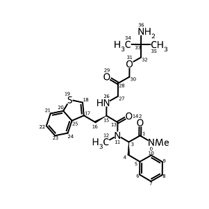 CNC(=O)[C@@H](Cc1ccccc1)N(C)C(=O)[C@@H](Cc1csc2ccccc12)NCC(=O)COCC(C)(C)N